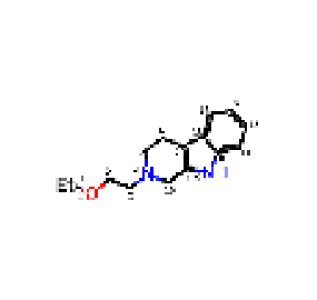 CCOCCN1CCc2c([nH]c3ccccc23)C1